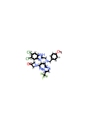 COc1ccc(CN(Cc2nc3cc(Cl)c(Cl)cc3[nH]2)c2cc(N3CC(=O)C3)nn3c(C(F)(F)F)cnc23)cc1